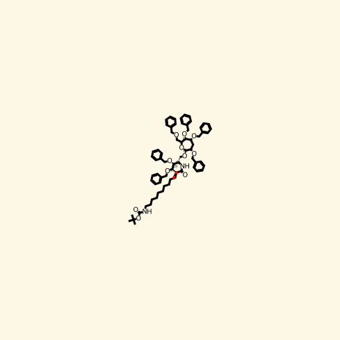 CC[C@@H](OCc1ccccc1)[C@@H](OCc1ccccc1)[C@H](CO[C@H]1OC(COCc2ccccc2)[C@H](OCc2ccccc2)C(OCc2ccccc2)CC1OCc1ccccc1)NC(=O)CCCCCCCCCCCNC(=O)OC(C)(C)C